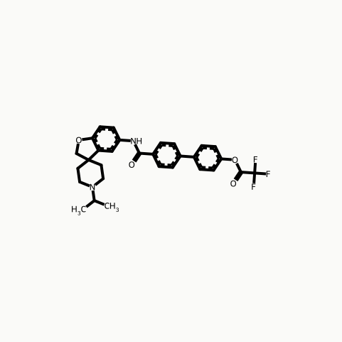 CC(C)N1CCC2(CC1)COc1ccc(NC(=O)c3ccc(-c4ccc(OC(=O)C(F)(F)F)cc4)cc3)cc12